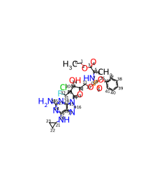 CCOC(=O)[C@@H](C)N[P@](=O)(OC[C@H]1O[C@@H](n2cnc3c(NC4CC4)nc(N)nc32)[C@@](Cl)(CF)[C@@H]1O)Oc1ccccc1